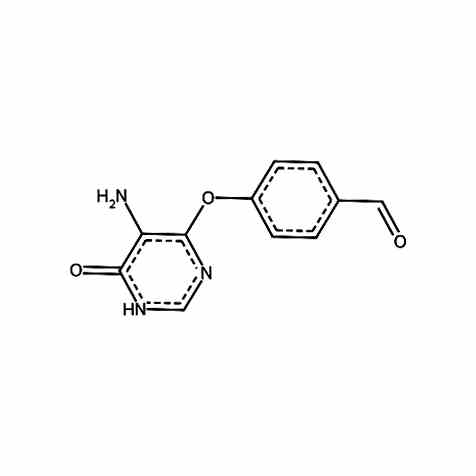 Nc1c(Oc2ccc(C=O)cc2)nc[nH]c1=O